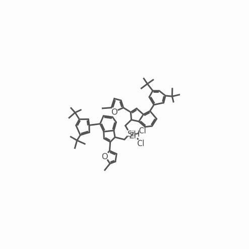 Cc1ccc(C2=Cc3c(-c4cc(C(C)(C)C)cc(C(C)(C)C)c4)cccc3C2C[SiH](CC2C(c3ccc(C)o3)=Cc3c(-c4cc(C(C)(C)C)cc(C(C)(C)C)c4)cccc32)[Zr]([Cl])[Cl])o1